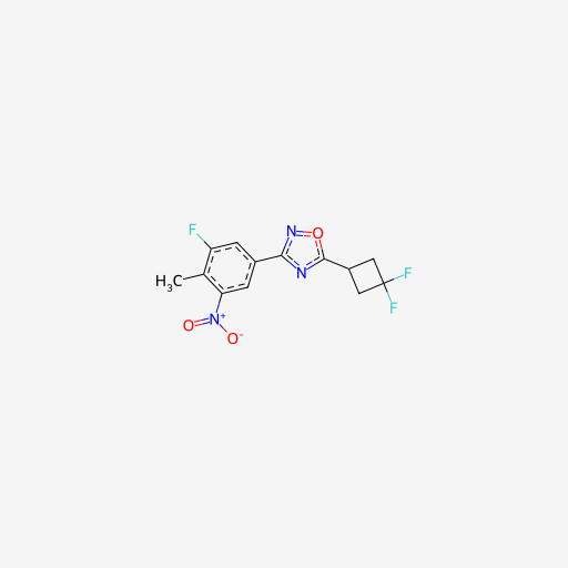 Cc1c(F)cc(-c2noc(C3CC(F)(F)C3)n2)cc1[N+](=O)[O-]